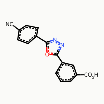 N#Cc1ccc(-c2nnc(-c3cccc(C(=O)O)c3)o2)cc1